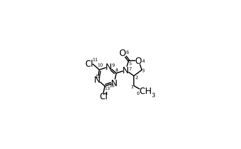 CCC1COC(=O)N1c1nc(Cl)nc(Cl)n1